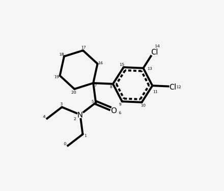 CCN(CC)C(=O)C1(c2ccc(Cl)c(Cl)c2)CCCCC1